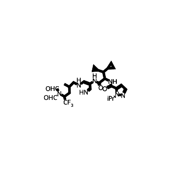 CC(CN/C=C(\C=N)NC(=O)C(NC(=O)c1ccnn1C(C)C)C(C1CC1)C1CC1)CC(N(C=O)C=O)C(F)(F)F